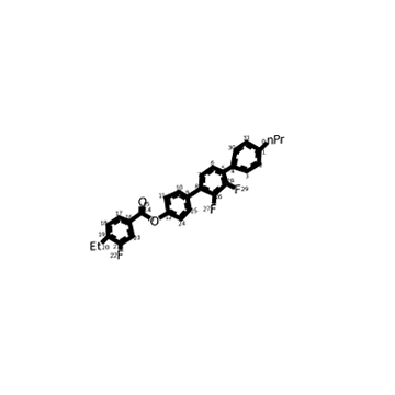 CCCc1ccc(-c2ccc(-c3ccc(OC(=O)c4ccc(CC)c(F)c4)cc3)c(F)c2F)cc1